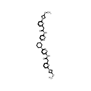 COC1CN(c2cccc(CC(=O)Nc3ccc([C@H]4CCC[C@H](c5ccc(NC(=O)Cc6cccc(N7CC(OC)C7)n6)nn5)C4)nn3)n2)C1